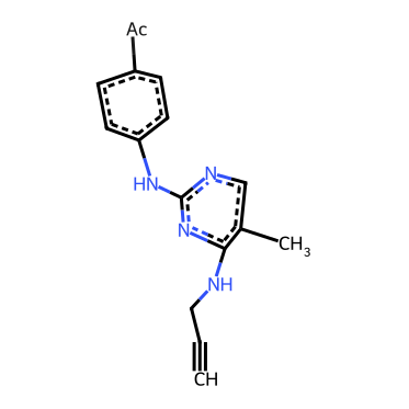 C#CCNc1nc(Nc2ccc(C(C)=O)cc2)ncc1C